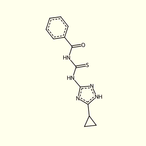 O=C(NC(=S)Nc1n[nH]c(C2CC2)n1)c1ccccc1